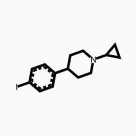 Ic1ccc(C2CCN(C3CC3)CC2)cc1